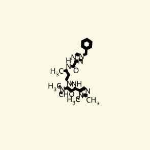 Cc1ncc(C2C=C(N(C)C=O)N(CCC(C)NC(=O)c3ncn(Cc4ccccc4)n3)N2)n1C